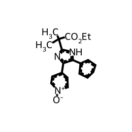 CCOC(=O)C(C)(C)c1nc(-c2cc[n+]([O-])cc2)c(-c2ccccc2)[nH]1